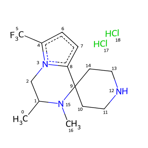 CC1Cn2c(C(F)(F)F)ccc2C2(CCNCC2)N1C.Cl.Cl